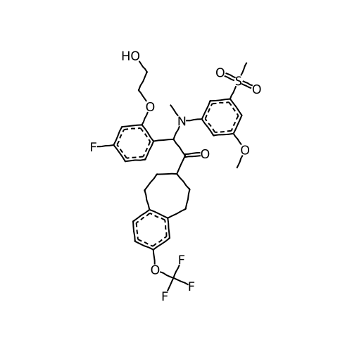 COc1cc(N(C)C(C(=O)C2CCc3ccc(OC(F)(F)F)cc3CC2)c2ccc(F)cc2OCCO)cc(S(C)(=O)=O)c1